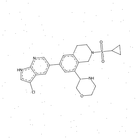 O=S(=O)(C1CC1)N1CCc2cc(-c3cnc4[nH]cc(Cl)c4c3)cc(C3COCCN3)c2C1